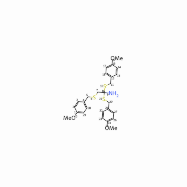 COc1ccc(CSCC(N)(SCc2ccc(OC)cc2)SCc2ccc(OC)cc2)cc1